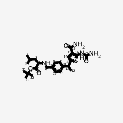 CC(C)CC(NCc1ccc(C(C)c2cc(C(N)=O)c(NC(N)=O)s2)cc1)C(=O)OC(C)(C)C